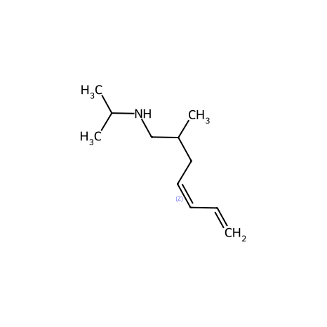 C=C/C=C\CC(C)CNC(C)C